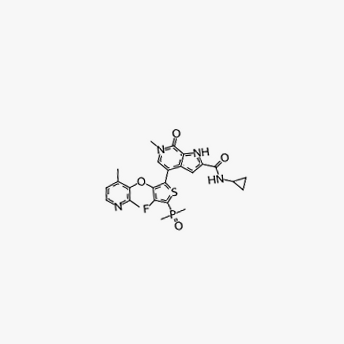 Cc1ccnc(C)c1Oc1c(-c2cn(C)c(=O)c3[nH]c(C(=O)NC4CC4)cc23)sc(P(C)(C)=O)c1F